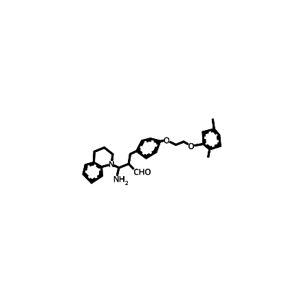 Cc1ccc(C)c(OCCOc2ccc(CC(C=O)C(N)N3CCCc4ccccc43)cc2)c1